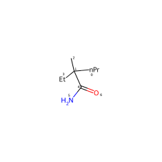 CCCC(C)(CC)C(N)=O